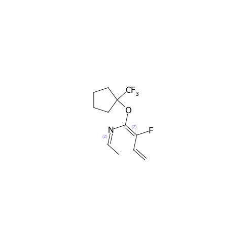 C=C/C(F)=C(\N=C/C)OC1(C(F)(F)F)CCCC1